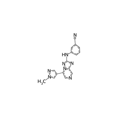 Cn1cc(-c2cncc3nc(Nc4cccc(C#N)c4)nn23)cn1